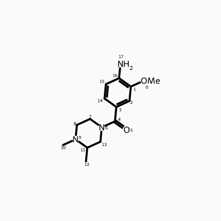 COc1cc(C(=O)N2CCN(C)C(C)C2)ccc1N